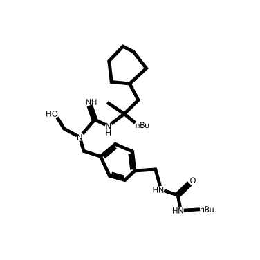 CCCCNC(=O)NCc1ccc(CN(CO)C(=N)NC(C)(CCCC)CC2CCCCC2)cc1